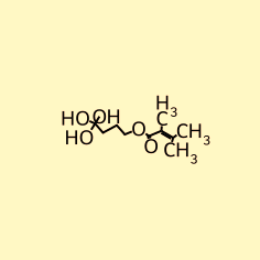 CC(C)=C(C)C(=O)OCCCC(O)(O)O